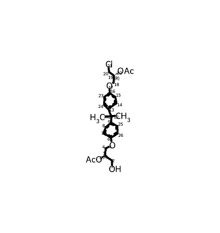 CC(=O)O[C@H](CO)COc1ccc(C(C)(C)c2ccc(OC[C@H](CCl)OC(C)=O)cc2)cc1